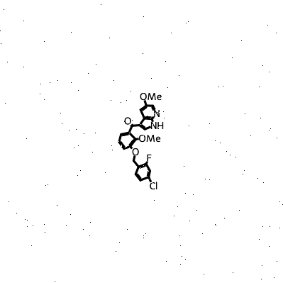 COc1cnc2[nH]cc(C(=O)c3cccc(OCc4ccc(Cl)cc4F)c3OC)c2c1